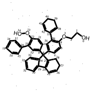 OCCOc1ccc(C2(c3ccc(OO)c(-c4ccccc4)c3)C3=C(C=CCC3)c3ccccc32)cc1C1=CCCC=C1